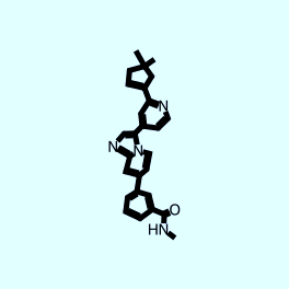 CNC(=O)c1cccc(-c2ccn3c(-c4ccnc(C5=CCC(C)(C)C5)c4)cnc3c2)c1